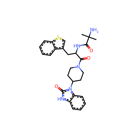 CC(C)(N)C(=O)NC(Cc1csc2ccccc12)C(=O)N1CCC(n2c(=O)[nH]c3ccccc32)CC1